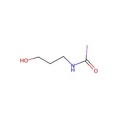 O=C(I)NCCCO